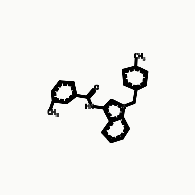 Cc1ccc(Cn2cc(NC(=O)c3cccc(C)c3)c3ccccc32)cc1